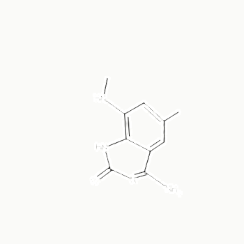 CNc1cc(C)cc2c(N)nc(=O)[nH]c12